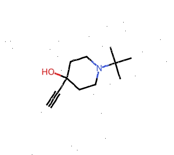 C#CC1(O)CCN(C(C)(C)C)CC1